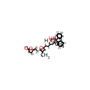 C=C1CC(CCCCC(C)(C)[Si](O)(c2ccccc2)c2ccccc2)O[C@H]1CCC1CCC(=O)O1